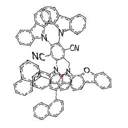 N#Cc1c(Cn2c3cc(-c4cccc5ccccc45)cc(-c4cccc5ccccc45)c3c3ccc4c5ccccc5oc4c32)c(-n2c3ccccc3c3ccccc32)c(C#N)c(-n2c3ccccc3c3ccccc32)c1-n1c2ccccc2c2ccccc21